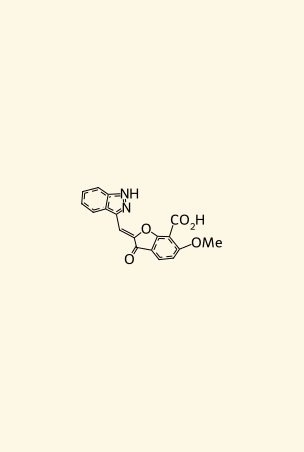 COc1ccc2c(c1C(=O)O)O/C(=C\c1n[nH]c3ccccc13)C2=O